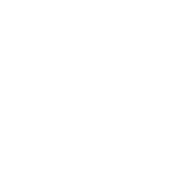 CC(C)C1=C(O)C(=O)c2c(ccc3c2CCCC3(C)C)C1=O